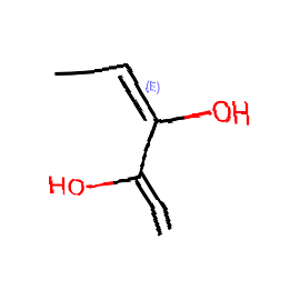 C=C(O)/C(O)=C\C